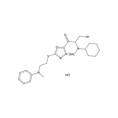 CC(C)CC(C(=O)c1nnc(SCCN(C)c2ccccc2)o1)N(C=O)C1CCCCC1.Cl